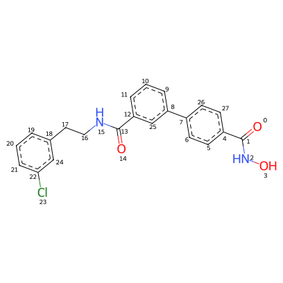 O=C(NO)c1ccc(-c2cccc(C(=O)NCCc3cccc(Cl)c3)c2)cc1